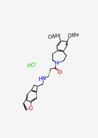 COc1cc2c(cc1OC)CCN(C(=O)CCNCC1Cc3cc4ccoc4cc31)CC2.Cl